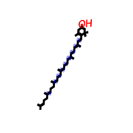 CC(C)=CCC/C(C)=C/CC/C(C)=C/C=C/C(C)=C/C=C/C=C(C)/C=C/C=C(C)/C=C/C1=C(C)CC(O)CC1(C)C